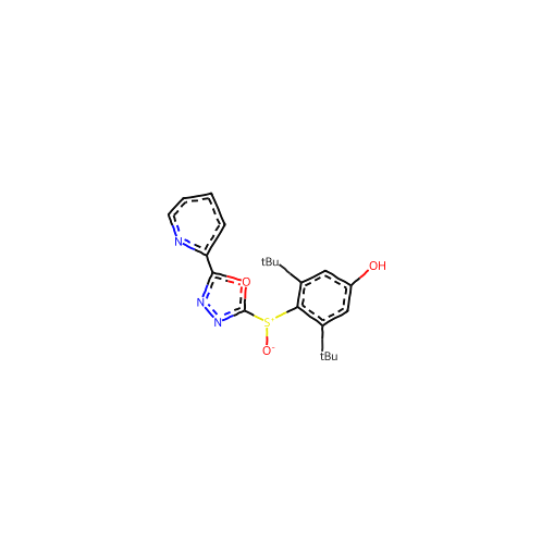 CC(C)(C)c1cc(O)cc(C(C)(C)C)c1[S+]([O-])c1nnc(-c2ccccn2)o1